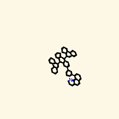 c1cc(-c2ccc3c(-c4cc5ccccc5c5ccccc45)c4ccccc4c(-c4cc5ccccc5c5ccccc45)c3c2)cc(-c2cccc3ccc4cccnc4c23)c1